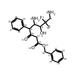 NCC(F)(F)C(O)C(N)C(C(=O)CC(=O)OCc1ccccc1)c1ccccc1